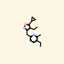 CCc1ccc(Cc2noc(C3CC3)c2CC)nc1C